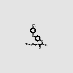 CCCCOCCOC(=O)C(C)Oc1ccc(Oc2ccc(C(F)(F)F)cc2)cc1